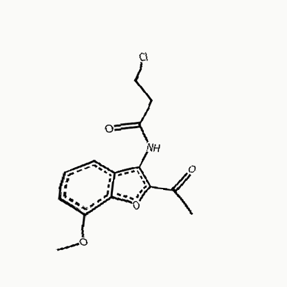 COc1cccc2c(NC(=O)CCCl)c(C(C)=O)oc12